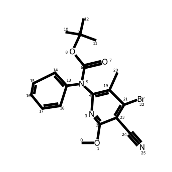 COc1nc(N(C(=O)OC(C)(C)C)c2ccccc2)c(C)c(Br)c1C#N